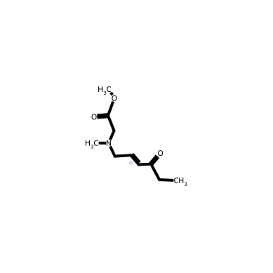 CCC(=O)/C=C/CN(C)CC(=O)OC